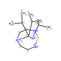 CC(C)N1P2NCCN(CCN2)CC1(C(C)C)C(C)C